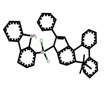 CC(C)(C)c1ccc2c(c1-c1ccccc1-c1ccccc1)C=C(c1ccccc1)[CH]2[Zr]([Cl])([Cl])[c]1cccc2c1[SiH2]c1ccccc1-2